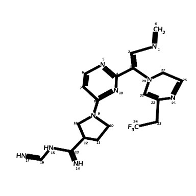 C=N/C=C(/c1nccc(N2CCC(C(=N)NC=N)C2)n1)N1C=C(CC(F)(F)F)N=CC1